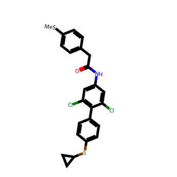 CSc1ccc(CC(=O)Nc2cc(Cl)c(-c3ccc(SC4CC4)cc3)c(Cl)c2)cc1